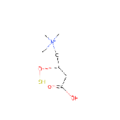 C[N+](C)(C)CC(CC(=O)O)OS